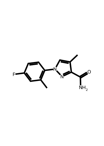 Cc1cc(F)ccc1-n1cc(C)c(C(N)=O)n1